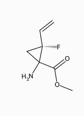 C=C[C@]1(F)CC1(N)C(=O)OC